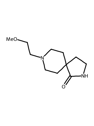 COCCN1CCC2(CCNC2=O)CC1